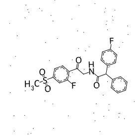 CS(=O)(=O)c1ccc(C(=O)CNC(=O)C(c2ccccc2)c2ccc(F)cc2)c(F)c1